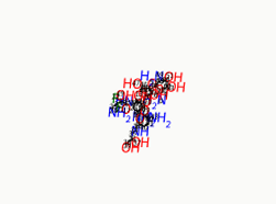 NC[C@@H]1O[C@H](O[C@H]2[C@@H](O)[C@H](O[C@@H]3[C@@H](O)[C@H](NC(=O)C(O)C(F)(F)CN)C[C@H](N)[C@H]3O[C@H]3O[C@H](CNCC(O)CO)C=C[C@H]3N)O[C@@H]2CO)[C@H](N)[C@@H](O)[C@@H]1O